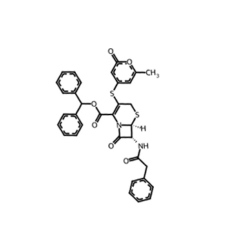 Cc1cc(SC2=C(C(=O)OC(c3ccccc3)c3ccccc3)N3C(=O)[C@@H](NC(=O)Cc4ccccc4)[C@@H]3SC2)cc(=O)o1